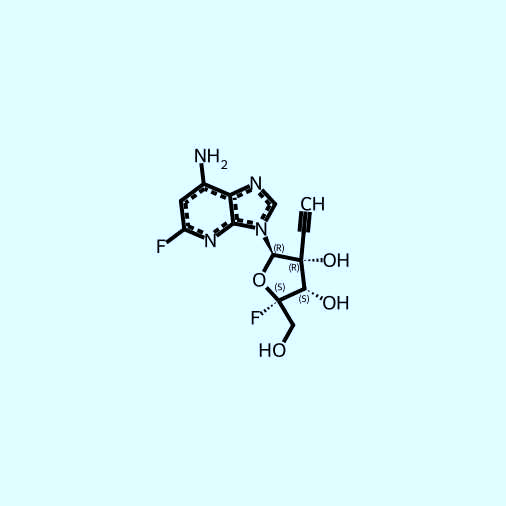 C#C[C@]1(O)[C@H](n2cnc3c(N)cc(F)nc32)O[C@](F)(CO)[C@H]1O